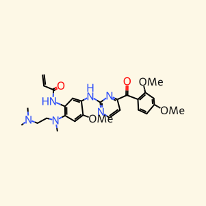 C=CC(=O)Nc1cc(Nc2nccc(C(=O)c3ccc(OC)cc3OC)n2)c(OC)cc1N(C)CCN(C)C